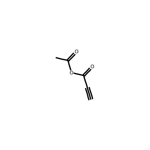 C#CC(=O)OC(C)=O